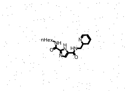 CCCCCCNC(=O)c1ncc(C(=O)NCC2CC=CC=N2)[nH]1